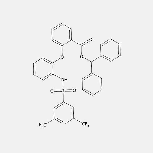 O=C(OC(c1ccccc1)c1ccccc1)c1ccccc1Oc1ccccc1NS(=O)(=O)c1cc(C(F)(F)F)cc(C(F)(F)F)c1